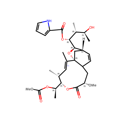 COC(=O)O[C@H](C)[C@H]1OC(=O)[C@@H](OC)CC2C=C[C@@H]3C[C@]2(O[C@H]3[C@H](OC(=O)c2ccc[nH]2)[C@H](C)[C@H](C)O)/C(C)=C/[C@H]1C